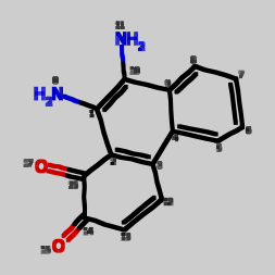 Nc1c2c(c3ccccc3c1N)C=CC(=O)C2=O